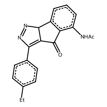 CCc1ccc(C2=C3C(=O)c4c(NC(C)=O)cccc4C3N=N2)cc1